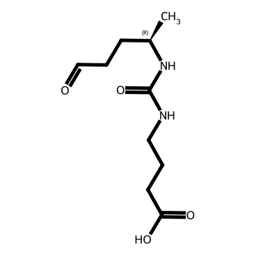 C[C@H](CCC=O)NC(=O)NCCCC(=O)O